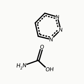 NC(=O)O.c1cnnnc1